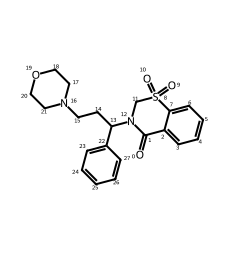 O=C1c2ccccc2S(=O)(=O)CN1C(CCN1CCOCC1)c1ccccc1